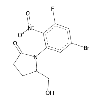 O=C1CCC(CO)N1c1cc(Br)cc(F)c1[N+](=O)[O-]